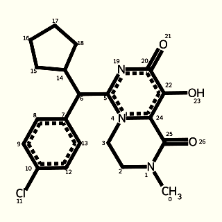 CN1CCn2c(C(c3ccc(Cl)cc3)C3CCCC3)nc(=O)c(O)c2C1=O